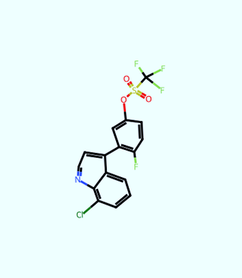 O=S(=O)(Oc1ccc(F)c(-c2ccnc3c(Cl)cccc23)c1)C(F)(F)F